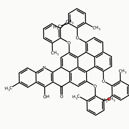 Cc1ccc2nc3c(c(O)c2c1)C(=O)c1cc(Oc2c(C)cccc2C)c2c4c(Oc5c(C)cccc5C)ccc5ccc(Oc6c(C)cccc6C)c(c6c(Oc7c(C)cccc7C)cc-3c1c26)c54